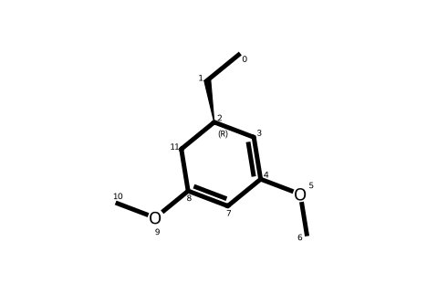 CC[C@H]1C=C(OC)C=C(OC)C1